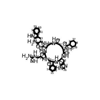 N=C(N)NCCC[C@@H]1NC(=O)C(c2ccccc2)NC(=O)[C@H](Cc2c[nH]cn2)NC(=O)[C@@H](NC(=O)C2CCCCC2)CCC(=O)NCC[C@@H](C(=O)N[C@@H](Cc2c[nH]c3ccccc23)C(N)=O)NC1=O